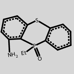 CCP1(=O)c2ccccc2Sc2cccc(N)c21